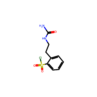 NC(=O)NCCc1ccccc1S(=O)(=O)Cl